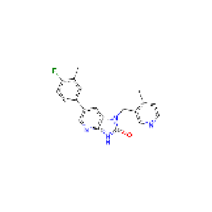 Cc1cc(-c2cnc3[nH]c(=O)n(Cc4cnccc4C)c3c2)ccc1F